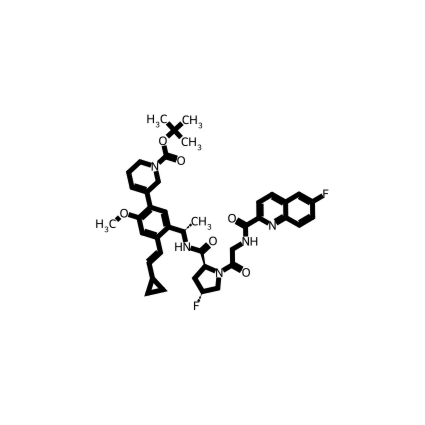 COc1cc(/C=C/C2CC2)c([C@H](C)NC(=O)[C@@H]2C[C@@H](F)CN2C(=O)CNC(=O)c2ccc3cc(F)ccc3n2)cc1C1=CCCN(C(=O)OC(C)(C)C)C1